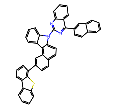 c1ccc2cc(-c3nc(-n4c5ccccc5c5c6cc(-c7cccc8c7sc7ccccc78)ccc6ccc54)nc4ccccc34)ccc2c1